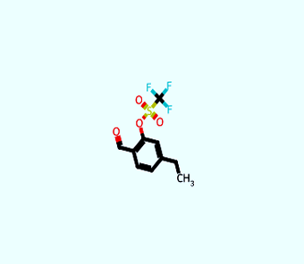 CCc1ccc(C=O)c(OS(=O)(=O)C(F)(F)F)c1